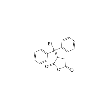 CCP(=C1CC(=O)OC1=O)(c1ccccc1)c1ccccc1